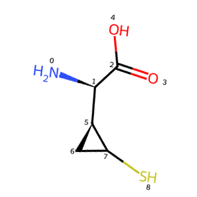 N[C@@H](C(=O)O)[C@@H]1CC1S